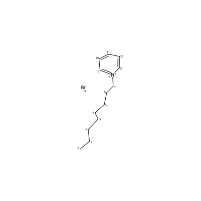 CCCCCCCC[n+]1ccccc1.[Br-]